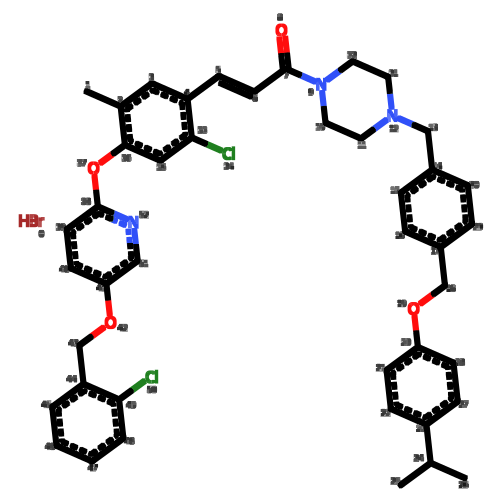 Br.Cc1cc(/C=C/C(=O)N2CCN(Cc3ccc(COc4ccc(C(C)C)cc4)cc3)CC2)c(Cl)cc1Oc1ccc(OCc2ccccc2Cl)cn1